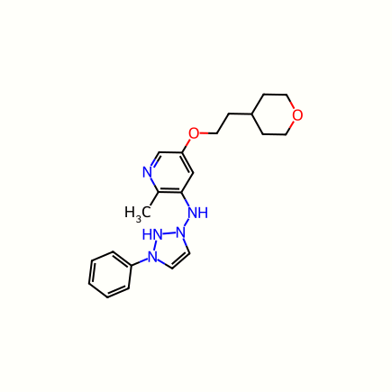 Cc1ncc(OCCC2CCOCC2)cc1NN1C=CN(c2ccccc2)N1